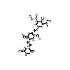 CCC(C)c1cc(N=Nc2cc(OC)c(N=Nc3cc(Cl)ccc3C)cc2OC)cc(C(C)CC)c1O